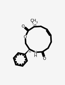 C[C@@H]1CC=CCCC(=O)N[C@@H](c2ccccc2)COC1=O